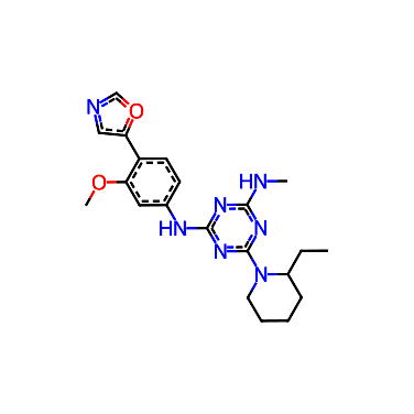 CCC1CCCCN1c1nc(NC)nc(Nc2ccc(-c3cnco3)c(OC)c2)n1